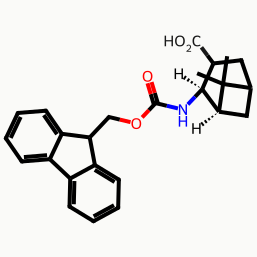 CC1(C)C2CC(C(=O)O)[C@H](NC(=O)OCC3c4ccccc4-c4ccccc43)[C@@H]1C2